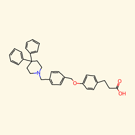 O=C(O)CCc1ccc(OCc2ccc(CN3CCC(c4ccccc4)(c4ccccc4)CC3)cc2)cc1